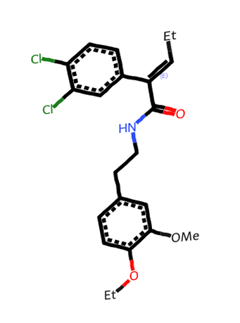 CC/C=C(/C(=O)NCCc1ccc(OCC)c(OC)c1)c1ccc(Cl)c(Cl)c1